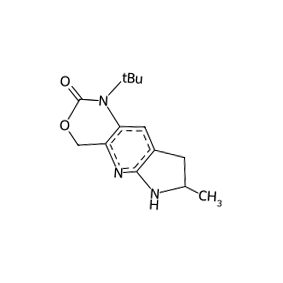 CC1Cc2cc3c(nc2N1)COC(=O)N3C(C)(C)C